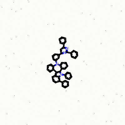 c1ccc(-c2cc(-c3cccc(N4c5ccccc5-c5c(n(-c6ccccc6)c6c(-c7ccccc7)cccc56)-c5ccccc54)c3)nc(-c3ccccc3)n2)cc1